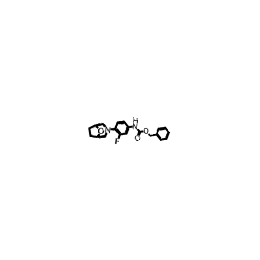 O=C(Nc1ccc(N2CC3CCC(C2)O3)c(F)c1)OCc1ccccc1